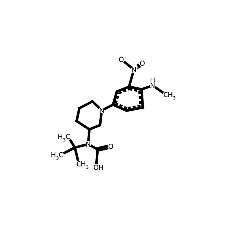 CNc1ccc(N2CCCC(N(C(=O)O)C(C)(C)C)C2)cc1[N+](=O)[O-]